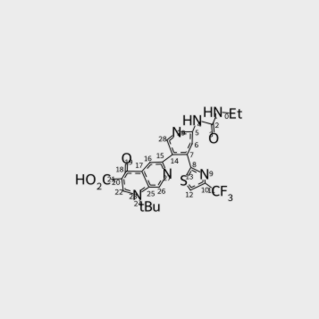 CCNC(=O)Nc1cc(-c2nc(C(F)(F)F)cs2)c(-c2cc3c(=O)c(C(=O)O)cn(C(C)(C)C)c3cn2)cn1